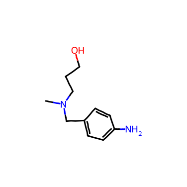 CN(CCCO)Cc1ccc(N)cc1